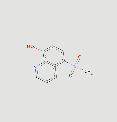 CS(=O)(=O)c1ccc(O)c2ncccc12